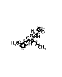 CCCC[C@H]1CN(C(=O)c2cc3c(OC)cccc3[nH]2)[C@@H]1C(=O)N[C@H](C#N)C[C@@H]1CCNC1=O